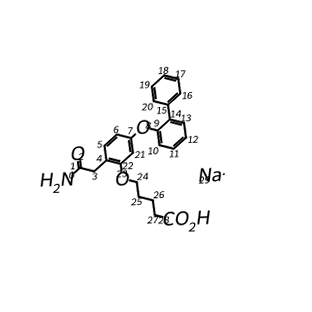 NC(=O)Cc1ccc(Oc2ccccc2-c2ccccc2)cc1OCCCCC(=O)O.[Na]